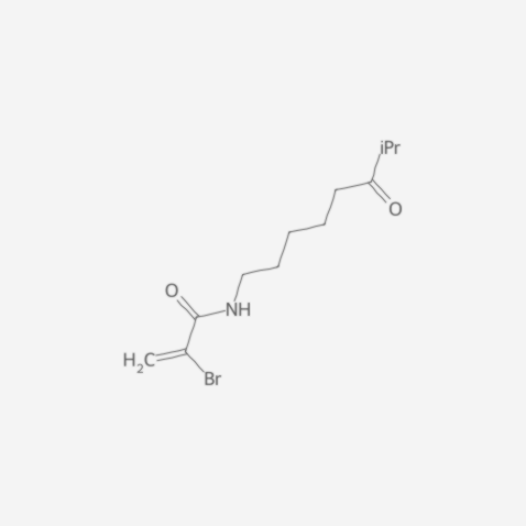 C=C(Br)C(=O)NCCCCCC(=O)C(C)C